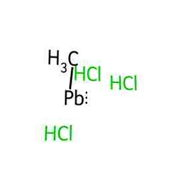 Cl.Cl.Cl.[CH3][Pb]